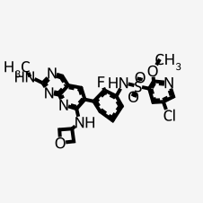 CNc1ncc2cc(-c3cccc(NS(=O)(=O)c4cc(Cl)cnc4OC)c3F)c(NC3COC3)nc2n1